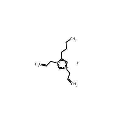 C=CCn1c[n+](CC=C)cc1CCCC.[I-]